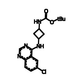 CC(C)(C)OC(=O)NC1CC(Nc2ncnc3ccc(Cl)cc23)C1